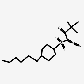 CCCCCCC1CCC(S(=O)(=O)C(=[N+]=[N-])C(=O)C(C)(C)C)CC1